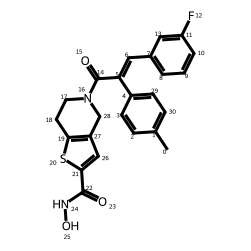 Cc1ccc(C(=Cc2cccc(F)c2)C(=O)N2CCc3sc(C(=O)NO)cc3C2)cc1